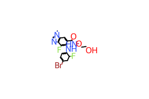 Cn1cnc2c(F)c(NC3=CC=C(Br)CC3F)c(C(=O)NOCCO)cc21